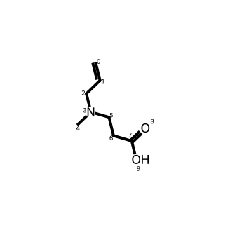 C=CCN(C)CCC(=O)O